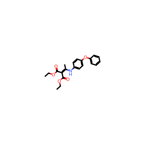 CCOC(=O)C(C(=O)OCC)=C(C)Nc1ccc(Oc2ccccc2)cc1